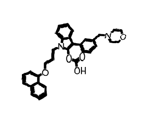 O=C(O)Oc1c(-c2cccc(CN3CCOCC3)c2)c2ccccc2n1CCCOc1cccc2ccccc12